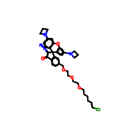 [N-]=[N+]=C1C(=O)c2ccc(COCCOCCOCCCCCCCl)cc2C12c1ccc(N3CCC3)cc1Oc1cc(N3CCC3)ccc12